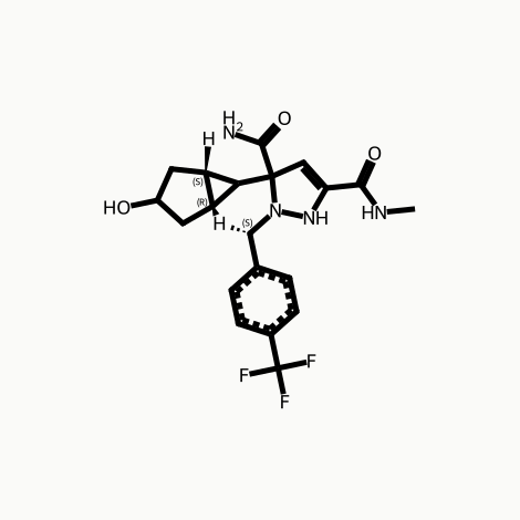 CNC(=O)C1=CC(C(N)=O)(C2[C@H]3CC(O)C[C@@H]23)N([C@@H](C)c2ccc(C(F)(F)F)cc2)N1